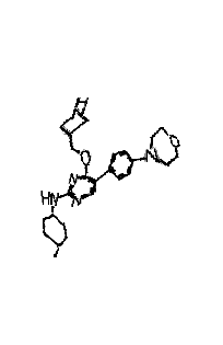 C[C@H]1CC[C@@H](Nc2ncc(-c3ccc(N4CCOCC4)cc3)c(OCC3CNC3)n2)CC1